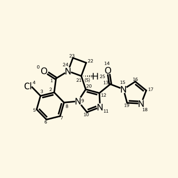 O=C1c2c(Cl)cccc2-n2cnc(C(=O)n3ccnc3)c2[C@@H]2CCN12